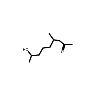 CC(=O)CC(C)CCCC(C)O